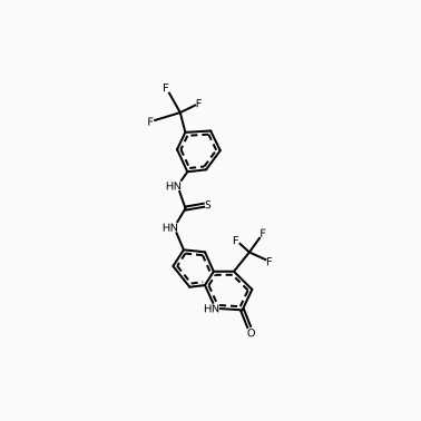 O=c1cc(C(F)(F)F)c2cc(NC(=S)Nc3cccc(C(F)(F)F)c3)ccc2[nH]1